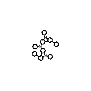 c1ccc(-c2ccc3c(c2)c2cc(N(c4ccccc4)c4ccc5c(c4)c4c(-c6ccccc6)cccc4n5-c4ccccc4)ccc2n3-c2ccccc2)cc1